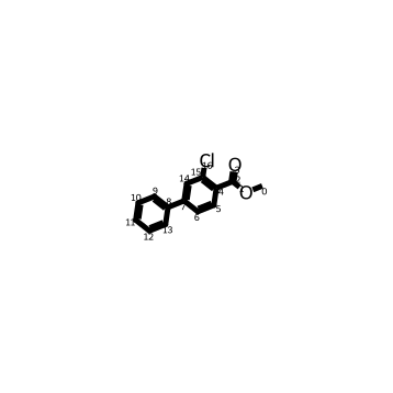 COC(=O)c1ccc(-c2ccccc2)cc1Cl